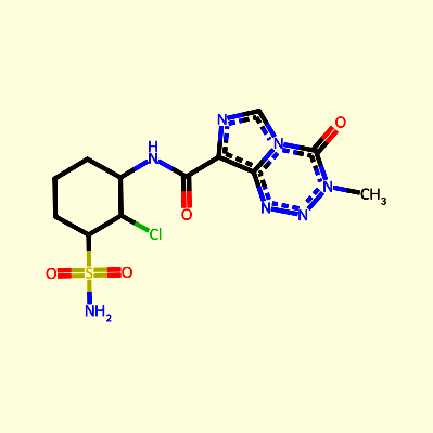 Cn1nnc2c(C(=O)NC3CCCC(S(N)(=O)=O)C3Cl)ncn2c1=O